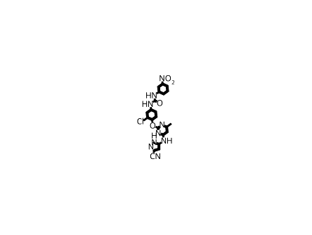 Cc1cc(Nc2cc(C#N)n[nH]2)nc(Oc2ccc(NC(=O)Nc3cccc([N+](=O)[O-])c3)cc2Cl)n1